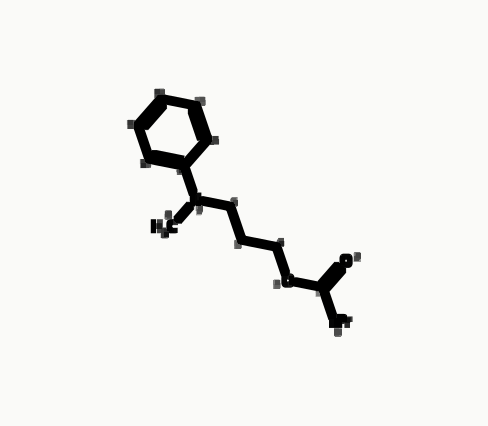 CCCC(=O)OCCCN(C)c1ccccc1